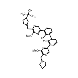 COc1nc(-c2cccc(-c3cccc(-c4cnc(CN5CCC(C(C)(C)O)C5)c(OC)n4)c3Cl)c2Cl)cnc1CN1CCCC1